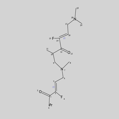 CC(C)C(=O)/C(F)=C/CN(C)CC(C)C(=O)/C(F)=C/CN(C)C